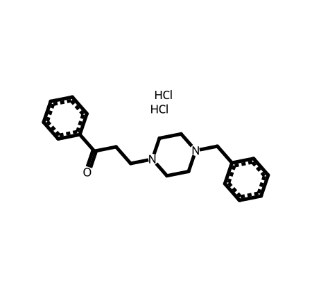 Cl.Cl.O=C(CCN1CCN(Cc2ccccc2)CC1)c1ccccc1